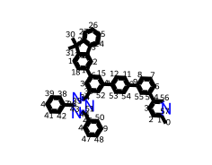 Cc1ccc(-c2cccc(-c3ccc(-c4cc(-c5ccc6c(c5)-c5ccccc5C6(C)C)cc(-c5nc(-c6ccccc6)nc(-c6ccccc6)n5)c4)cc3)c2)cn1